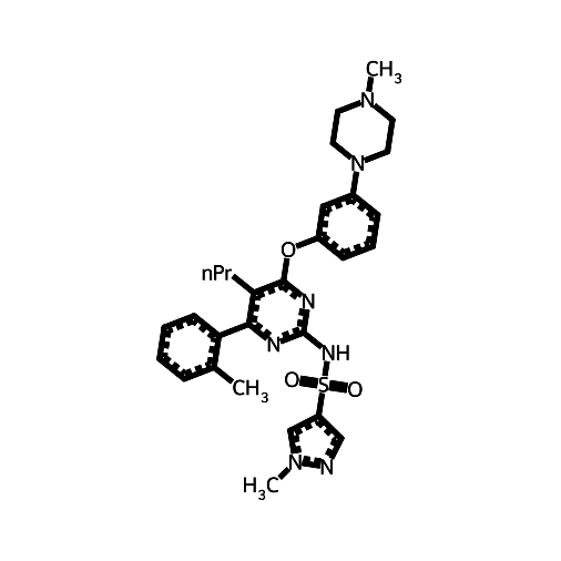 CCCc1c(Oc2cccc(N3CCN(C)CC3)c2)nc(NS(=O)(=O)c2cnn(C)c2)nc1-c1ccccc1C